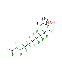 O[SiH]([SiH2][SiH3])C(F)C(F)(F)C(F)(F)C(F)(F)C(F)(F)C(F)(F)C(F)(F)C(F)C(F)C(F)F